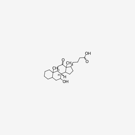 CC12CCCCC1CC(O)[C@@H]1C2CC(=O)C2(C)C(CCCC(=O)O)CCC12